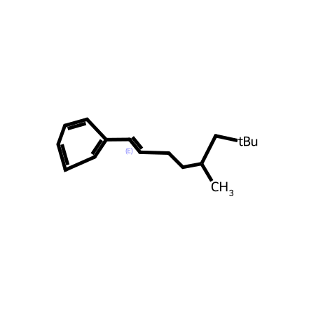 CC(CC/C=C/c1ccccc1)CC(C)(C)C